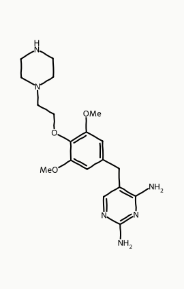 COc1cc(Cc2cnc(N)nc2N)cc(OC)c1OCCN1CCNCC1